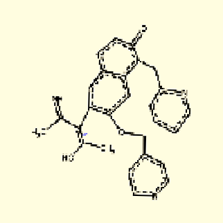 CC(=N)/C(=C(/C)O)c1cc2ccc(=O)n(Cc3ccccn3)c2cc1OCc1ccncc1